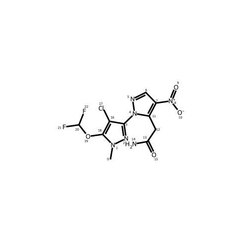 Cn1nc(-n2ncc([N+](=O)[O-])c2CC(N)=O)c(Cl)c1OC(F)F